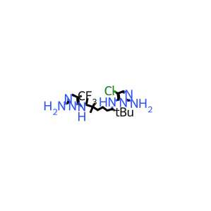 CC(Nc1nc(N)ncc1C(F)(F)F)C(C)(C)CCCC(Nc1nc(N)ncc1Cl)C(C)(C)C